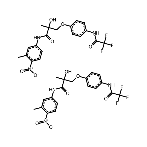 Cc1cc(NC(=O)C(C)(O)COc2ccc(NC(=O)C(F)(F)F)cc2)ccc1[N+](=O)[O-].Cc1cc(NC(=O)C(C)(O)COc2ccc(NC(=O)C(F)(F)F)cc2)ccc1[N+](=O)[O-]